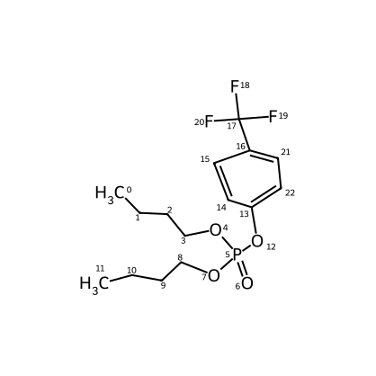 CCCCOP(=O)(OCCCC)Oc1ccc(C(F)(F)F)cc1